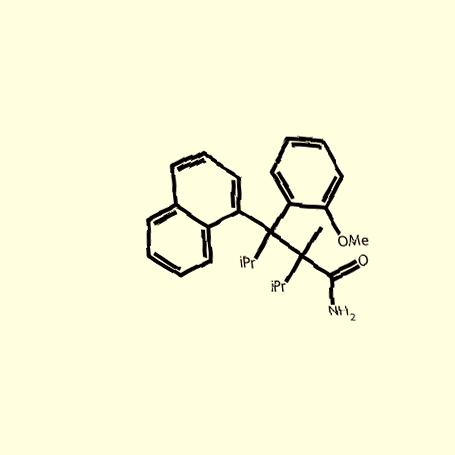 COc1ccccc1C(c1cccc2ccccc12)(C(C)C)C(C)(C(N)=O)C(C)C